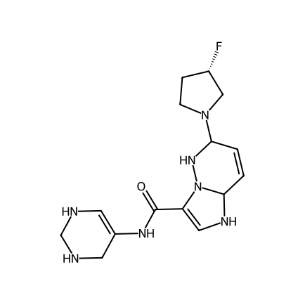 O=C(NC1=CNCNC1)C1=CNC2C=CC(N3CC[C@H](F)C3)NN12